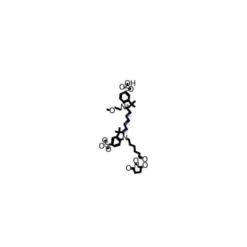 COCC[N+]1=C(/C=C/C=C/C=C2/N(CCCCCC(=O)ON3C(=O)CCC3=O)c3ccc(S(=O)(=O)[O-])cc3C2(C)C)C(C)(C)c2cc(S(=O)(=O)O)ccc21